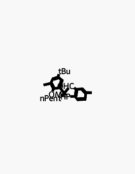 CCCCCC(C)(Pc1ccc(C)cc1C=O)c1cc(C(C)(C)C)cc(C)c1OC